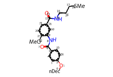 CCCCCCCCCCOc1ccc(C(=O)Nc2cc(C(=O)NCCCSC)ccc2OC)cc1